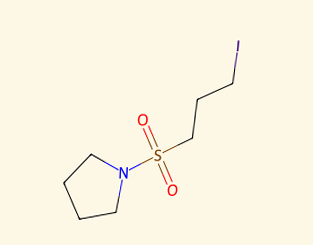 O=S(=O)(CCCI)N1CCCC1